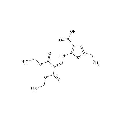 CCOC(=O)C(=CNc1sc(CC)cc1C(=O)O)C(=O)OCC